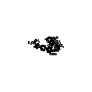 COc1cc(N2CCC(N3CCC(N(C)C)C3)CC2)c(C)cc1Nc1ncc(C(F)(F)F)c(Nc2ccc3c(c2P(C)(C)=O)OCCO3)n1